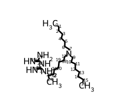 CCCCCCCCN(CCCCCCCC)CCCCCCCC.N=C(N)NC(=N)N